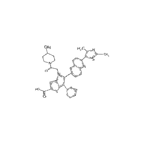 Cc1nc(C)c(-c2ccc3cc(-c4c(-c5ccccc5)c5sc(C(=O)O)cc5n4CC(=O)N4CCC(O)CC4)ccc3n2)s1